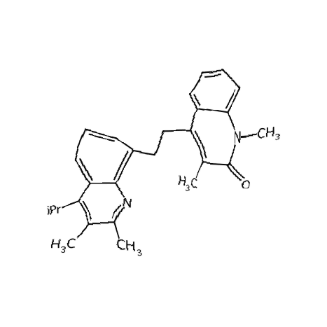 Cc1nc2c(CCc3c(C)c(=O)n(C)c4ccccc34)cccc2c(C(C)C)c1C